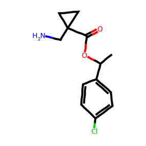 CC(OC(=O)C1(CN)CC1)c1ccc(Cl)cc1